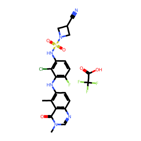 Cc1c(Nc2c(F)ccc(NS(=O)(=O)N3CC(C#N)C3)c2Cl)ccc2ncn(C)c(=O)c12.O=C(O)C(F)(F)F